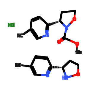 CC(C)(C)OC(=O)N1OCC[C@H]1c1ccc(C#N)cn1.Cl.N#Cc1ccc([C@@H]2CCON2)nc1